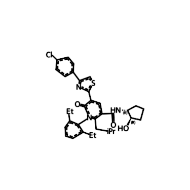 CCc1cccc(CC)c1-n1c(CC(C)C)c(C(=O)N[C@@H]2CCC[C@H]2O)cc(-c2nc(-c3ccc(Cl)cc3)cs2)c1=O